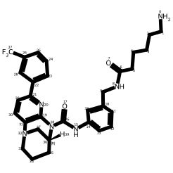 NCCCCCC(=O)NCc1cccc(NC(=O)N2c3nc(-c4cccc(C(F)(F)F)c4)ccc3N3CCC[C@@H]2C3)c1